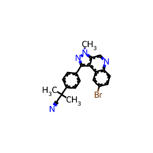 Cn1nc(-c2ccc(C(C)(C)C#N)cc2)c2c3cc(Br)ccc3ncc21